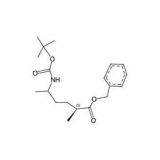 CC(CC[C@H](C)C(=O)OCc1ccccc1)NC(=O)OC(C)(C)C